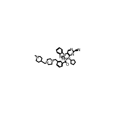 CN1CCC(CN2CCN(Cc3cccc(C(=O)NN(c4nc(C#N)ncc4-n4nnc5ccccc54)C4CCCC4)c3)CC2)CC1